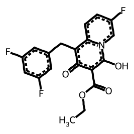 CCOC(=O)c1c(O)n2cc(F)ccc2c(Cc2cc(F)cc(F)c2)c1=O